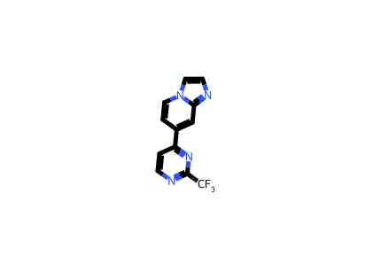 FC(F)(F)c1nccc(-c2ccn3ccnc3c2)n1